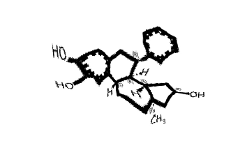 C[C@]12CC[C@@H]3c4cc(O)c(O)cc4C[C@@H](c4ccccc4)[C@H]3[C@@H]1C[C@@H](O)C2